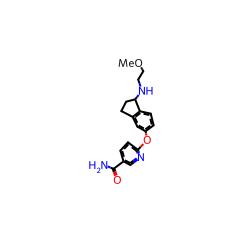 COCCNC1CCc2cc(Oc3ccc(C(N)=O)cn3)ccc21